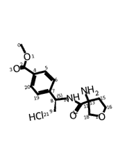 COC(=O)c1ccc([C@H](C)NC(=O)C2(N)CCOC2)cc1.Cl